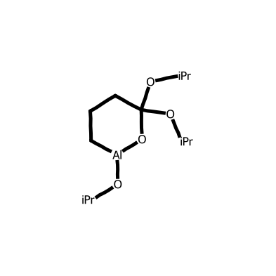 CC(C)[O][Al]1[CH2]CCC(OC(C)C)(OC(C)C)[O]1